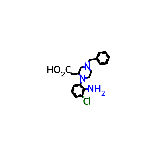 Nc1c(Cl)cccc1N1CCN(Cc2ccccc2)CC1CC(=O)O